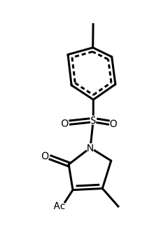 CC(=O)C1=C(C)CN(S(=O)(=O)c2ccc(C)cc2)C1=O